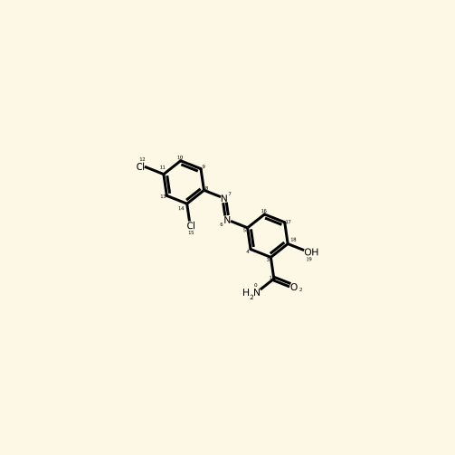 NC(=O)c1cc(N=Nc2ccc(Cl)cc2Cl)ccc1O